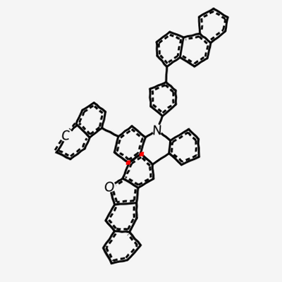 c1cc(-c2cccc3ccccc23)cc(N(c2ccc(-c3cccc4c3ccc3ccccc34)cc2)c2ccccc2-c2ccc3oc4cc5ccccc5cc4c3c2)c1